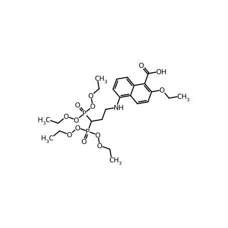 CCOOP(=O)(OOCC)C(CCNc1cccc2c(C(=O)O)c(OCC)ccc12)P(=O)(OOCC)OOCC